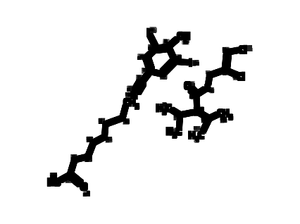 CC(C)N(C(=O)SC/C(Cl)=C/Cl)C(C)C.CCCCCCCC(=O)O.N#Cc1cc(I)c(O)c(I)c1